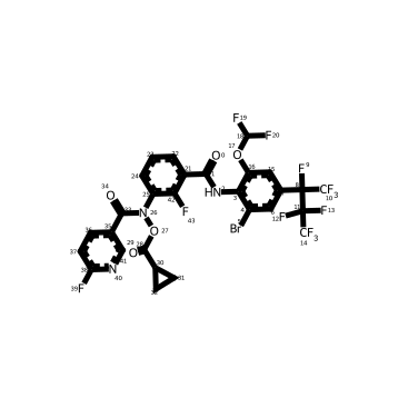 O=C(Nc1c(Br)cc(C(F)(C(F)(F)F)C(F)(F)C(F)(F)F)cc1OC(F)F)c1cccc(N(OC(=O)C2CC2)C(=O)c2ccc(F)nc2)c1F